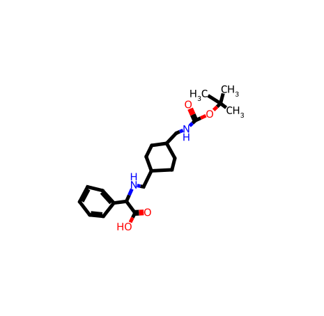 CC(C)(C)OC(=O)NCC1CCC(CNC(C(=O)O)c2ccccc2)CC1